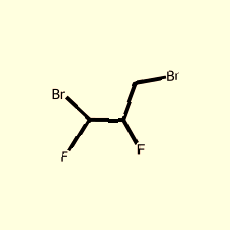 FC(Br)C(F)CBr